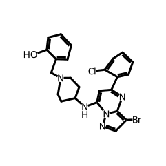 Oc1ccccc1CN1CCC(Nc2cc(-c3ccccc3Cl)nc3c(Br)cnn23)CC1